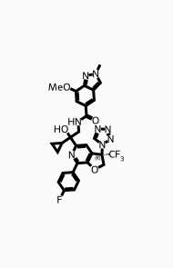 COc1cc(C(=O)NCC(O)(c2cc3c(c(-c4ccc(F)cc4)n2)OC[C@@]3(n2cnnn2)C(F)(F)F)C2CC2)cc2cn(C)nc12